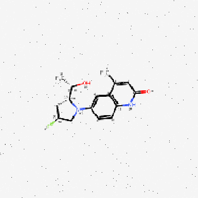 O=c1cc(C(F)(F)F)c2cc(N3C[C@@H](F)C[C@@H]3[C@@H](O)C(F)(F)F)ccc2[nH]1